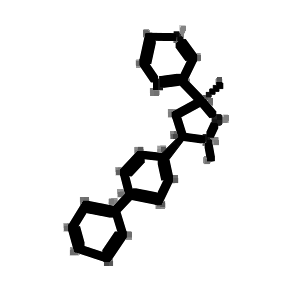 CN1O[C@](C)(c2cnccn2)C[C@@H]1c1ccc(-c2ccccc2)cc1